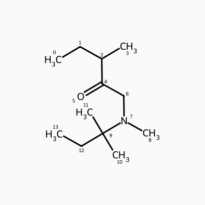 CCC(C)C(=O)CN(C)C(C)(C)CC